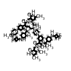 CSc1cc(C)[nH]c(=O)c1CNC(=O)c1c(C)n([C@H](C)C2CCC(NC3CC(F)(F)C3)CC2)c2ccc(N3CCN(C(C)CCc4c(C(=O)NCc5c(SC)cc(C)[nH]c5=O)c5ccc(N6CCN(C)CC6)cc5n4[C@H](C)C4CCC(NC5CC(F)(F)C5)CC4)CC3)cc12